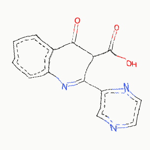 O=C(O)C1C(=O)c2ccccc2N=C1c1cnccn1